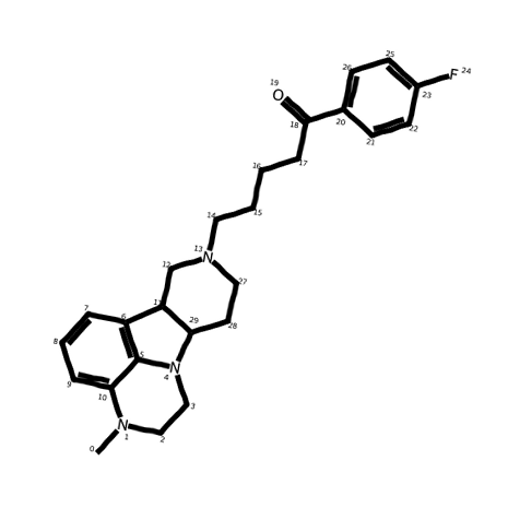 CN1CCN2c3c(cccc31)C1CN(CCCCC(=O)c3ccc(F)cc3)CCC12